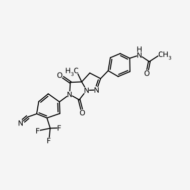 CC(=O)Nc1ccc(C2=NN3C(=O)N(c4ccc(C#N)c(C(F)(F)F)c4)C(=O)C3(C)C2)cc1